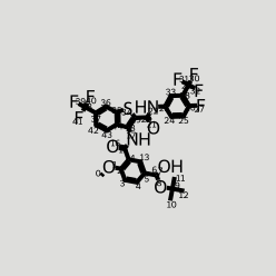 COc1ccc(C(O)OC(C)(C)C)cc1C(=O)Nc1c(C(=O)Nc2ccc(F)c(C(F)(F)F)c2)sc2cc(C(F)(F)F)ccc12